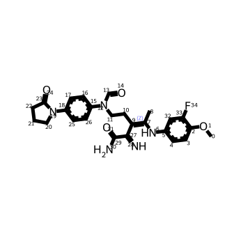 COc1ccc(N/C(C)=C(/CCN(C=O)c2ccc(N3CCCC3=O)cc2)C(=N)C(N)=O)cc1F